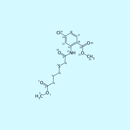 COC(=O)CCCSCC(=O)Nc1cc(Cl)ccc1C(=O)OC